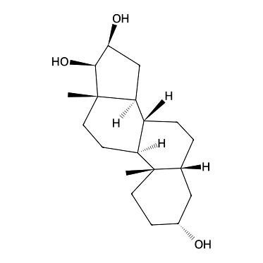 C[C@]12CC[C@@H](O)C[C@H]1CC[C@@H]1[C@@H]2CC[C@]2(C)[C@@H](O)[C@@H](O)C[C@@H]12